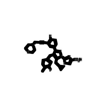 Cc1ccc(Cc2c(-c3ccc(F)c(C#CCN4CCOCC4)c3)nn(-c3nc(C(=O)O)cs3)c2CC2CC2)cc1F